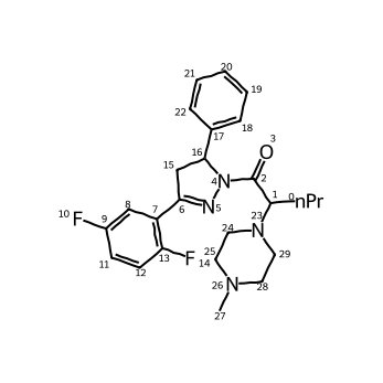 CCCC(C(=O)N1N=C(c2cc(F)ccc2F)CC1c1ccccc1)N1CCN(C)CC1